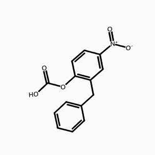 O=C(O)Oc1ccc([N+](=O)[O-])cc1Cc1ccccc1